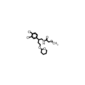 COCC(=O)NCC(CCOC1CCCCO1)c1ccc(Cl)c(Cl)c1